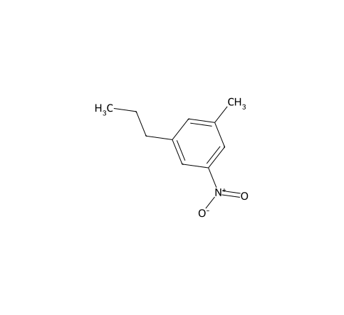 CCCc1cc(C)cc([N+](=O)[O-])c1